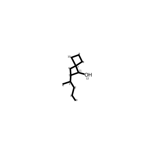 CCCC(C)C1CC2(CCC2)C1O